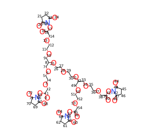 O=C(COCCOCC(COCCOCC(=O)ON1C(=O)CCC1=O)OCCOCCOC(COCCOCC(=O)ON1C(=O)CCC1=O)COCCOCC(=O)ON1C(=O)CCC1=O)ON1C(=O)CCC1=O